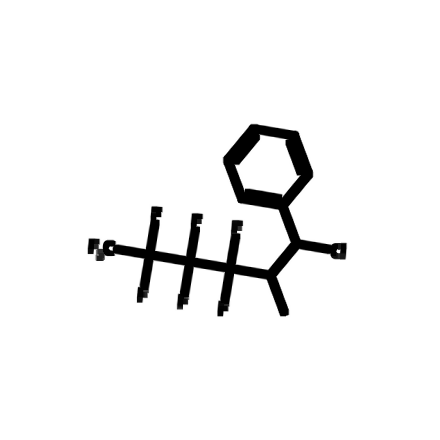 CC(C(Cl)c1ccccc1)C(F)(F)C(F)(F)C(F)(F)C(F)(F)F